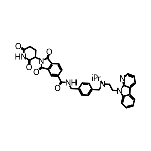 CC(C)N(CCn1c2ccccc2c2cccnc21)Cc1ccc(CNC(=O)c2ccc3c(c2)C(=O)N(C2CCC(=O)NC2=O)C3=O)cc1